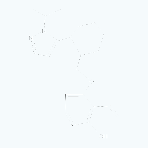 C=Cc1c(O)cccc1OCC1CCCCC1c1ccnn1C(C)C